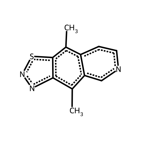 Cc1c2cnccc2c(C)c2snnc12